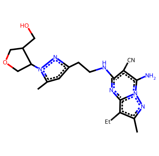 CCc1c(C)nn2c(N)c(C#N)c(NCCc3cc(C)n(C4COCC4CO)n3)nc12